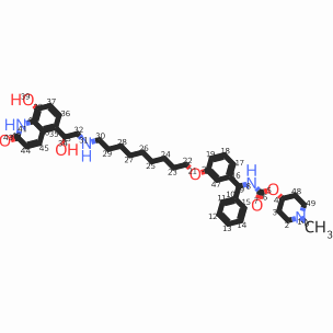 CN1CCC(OC(=O)NC(c2ccccc2)c2cccc(OCCCCCCCCCNC[C@@H](O)c3ccc(O)c4[nH]c(=O)ccc34)c2)CC1